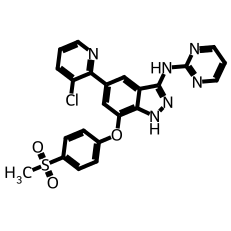 CS(=O)(=O)c1ccc(Oc2cc(-c3ncccc3Cl)cc3c(Nc4ncccn4)n[nH]c23)cc1